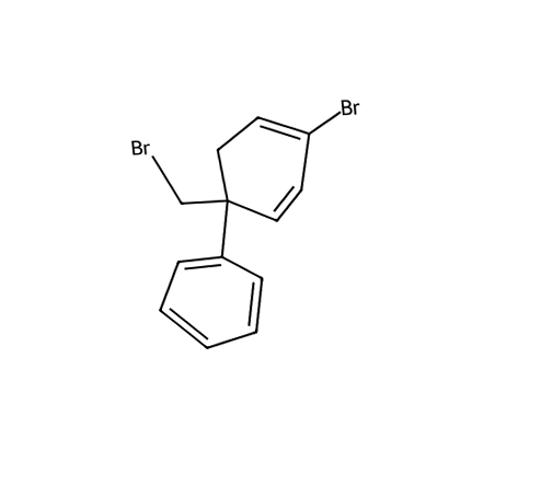 BrCC1(c2ccccc2)C=CC(Br)=CC1